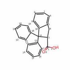 O=C(O)C1Cc2ccccc2C1(c1ccccc1)c1ccccc1